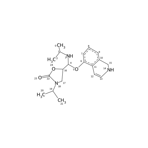 CC(C)NC(Oc1cccc2c1C=CNC2)C1CN(C(C)C)C(=O)O1